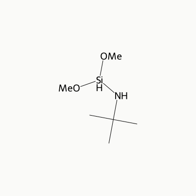 CO[SiH](NC(C)(C)C)OC